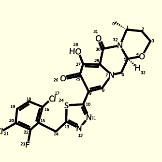 C[C@@H]1CCO[C@H]2Cn3cc(-c4nnc(Cc5c(Cl)ccc(Cl)c5F)s4)c(=O)c(O)c3C(=O)N12